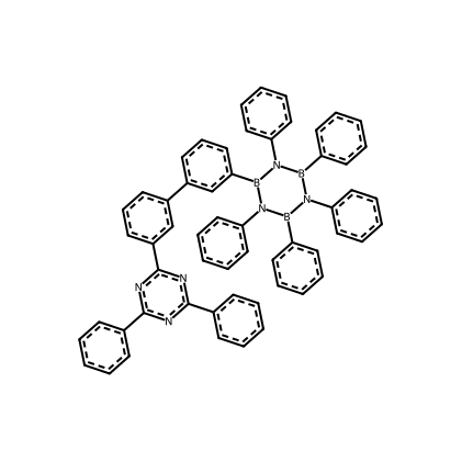 c1ccc(B2N(c3ccccc3)B(c3ccccc3)N(c3ccccc3)B(c3cccc(-c4cccc(-c5nc(-c6ccccc6)nc(-c6ccccc6)n5)c4)c3)N2c2ccccc2)cc1